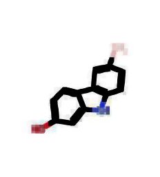 Bc1ccc2[nH]c3cc(O)ccc3c2c1